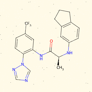 C[C@H](Nc1ccc2c(c1)CCC2)C(=O)Nc1cc(C(F)(F)F)ccc1-n1cncn1